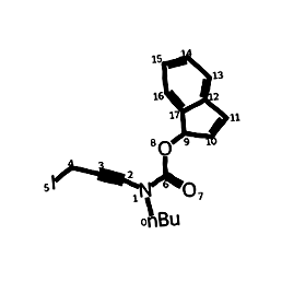 CCCCN(C#CCI)C(=O)OC1C=Cc2ccccc21